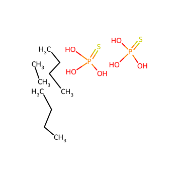 CC.CCCC.CCCC.OP(O)(O)=S.OP(O)(O)=S